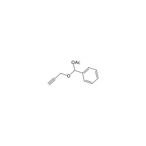 C#CCOC(OC(C)=O)c1ccccc1